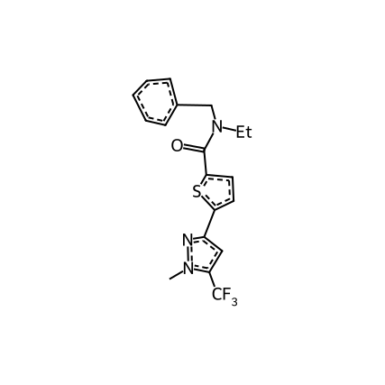 CCN(Cc1ccccc1)C(=O)c1ccc(-c2cc(C(F)(F)F)n(C)n2)s1